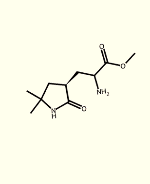 COC(=O)C(N)C[C@@H]1CC(C)(C)NC1=O